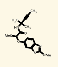 CC#CC(C)(C)NC(=O)C(Oc1ccc2nc(NC)sc2c1)SC